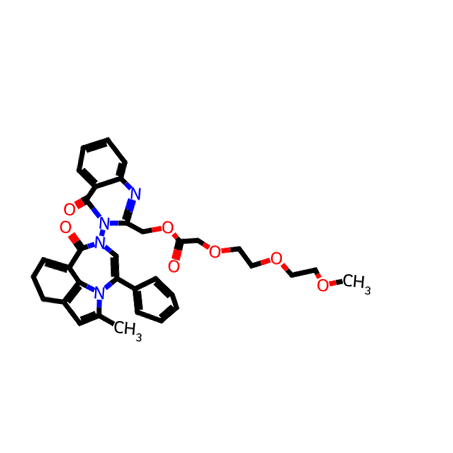 COCCOCCOCC(=O)OCc1nc2ccccc2c(=O)n1N1C=C(c2ccccc2)n2c(C)cc3c2C(=CCC3)C1=O